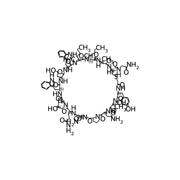 CCCC[C@H]1C(=O)N(C)[C@@H](CCCC)C(=O)N[C@@H](C)C(=O)N[C@H](C(=O)NCC(N)=O)CSCC(=O)N[C@@H](Cc2ccc(O)cc2)C(=O)N(C)[C@@H](C)C(=O)N[C@@H](CC(N)=O)C(=O)N2CCCC2C(=O)N[C@@H](CN)C(=O)N[C@@H](CCC(N)=O)C(=O)N2C[C@H](O)C[C@H]2C(=O)N[C@@H](Cc2c[nH]c3ccccc23)C(=O)N[C@@H](CCO)C(=O)N[C@@H](Cc2c[nH]c3ccccc23)C(=O)N1C